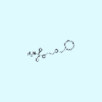 NS(=O)(=O)OCCOCc1ccccc1